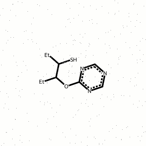 CCC(S)C(CC)Oc1ncncn1